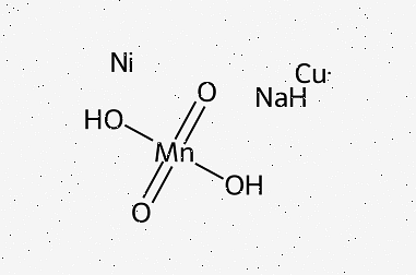 [Cu].[NaH].[Ni].[O]=[Mn](=[O])([OH])[OH]